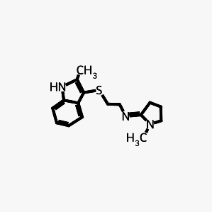 Cc1[nH]c2ccccc2c1SCCN=C1CCCN1C